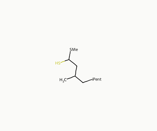 CCCC(C)CC(C)CC(S)SC